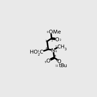 COC(=O)CC(C(=O)O)N(C)C(=O)OC(C)(C)C